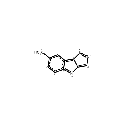 O=C(O)c1ccc2c(c1)=C1N=NC=C1N=2